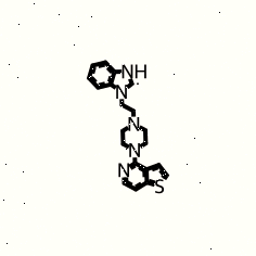 [CH]1Nc2ccccc2N1CCN1CCN(c2nccc3sccc23)CC1